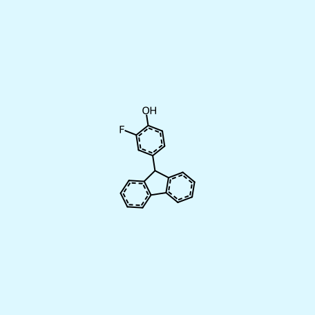 Oc1ccc(C2c3ccccc3-c3ccccc32)cc1F